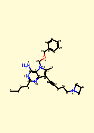 CCCCc1nc(N)c2c(n1)c(C#CCCCN1CCC1)c(C)n2COCc1ccccc1